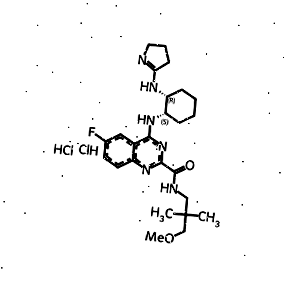 COCC(C)(C)CNC(=O)c1nc(N[C@H]2CCCC[C@H]2NC2=NCCC2)c2cc(F)ccc2n1.Cl.Cl